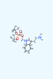 CN(C)CCc1cn(COP(=O)(OC(C)(C)C)OC(C)(C)C)c2ccccc12